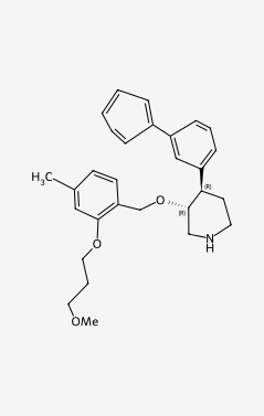 COCCCOc1cc(C)ccc1CO[C@H]1CNCC[C@@H]1c1cccc(-c2ccccc2)c1